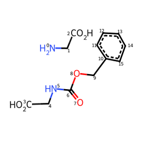 NCC(=O)O.O=C(O)CNC(=O)OCc1ccccc1